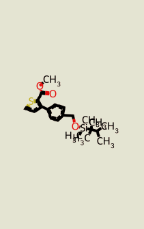 COC(=O)c1sccc1-c1ccc(CO[Si](C)(C)C(C)(C)C(C)C)cc1